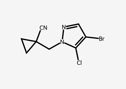 N#CC1(Cn2ncc(Br)c2Cl)CC1